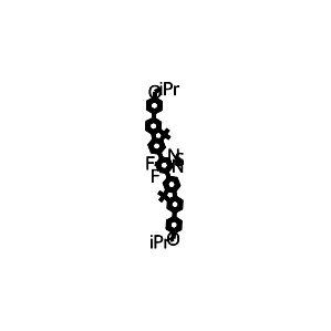 CC(C)Oc1ccc(-c2ccc3c(c2)C(C)(C)c2cc(-c4c(F)c(F)c(-c5ccc6c(c5)C(C)(C)c5cc(-c7ccc(OC(C)C)cc7)ccc5-6)c5nsnc45)ccc2-3)cc1